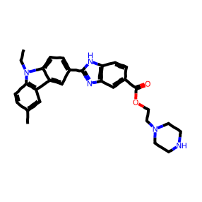 CCn1c2ccc(C)cc2c2cc(-c3nc4cc(C(=O)OCCN5CCNCC5)ccc4[nH]3)ccc21